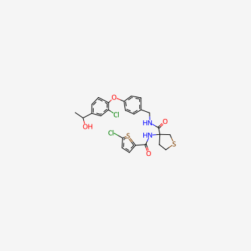 CC(O)c1ccc(Oc2ccc(CNC(=O)C3(NC(=O)c4ccc(Cl)s4)CCSC3)cc2)c(Cl)c1